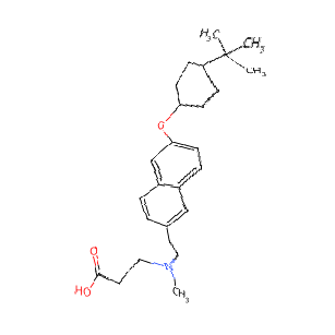 CN(CCC(=O)O)Cc1ccc2cc(OC3CCC(C(C)(C)C)CC3)ccc2c1